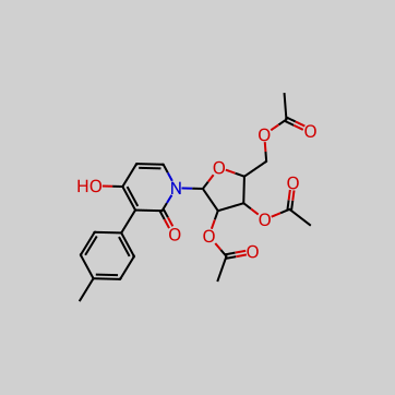 CC(=O)OCC1OC(n2ccc(O)c(-c3ccc(C)cc3)c2=O)C(OC(C)=O)C1OC(C)=O